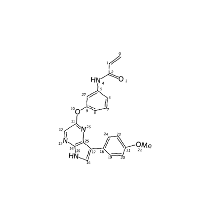 C=CC(=O)Nc1cccc(Oc2cnc3[nH]cc(-c4ccc(OC)cc4)c3n2)c1